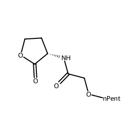 CCCCCOCC(=O)N[C@H]1CCOC1=O